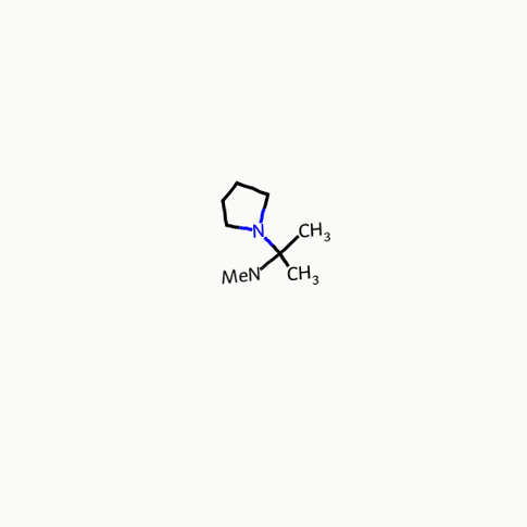 CNC(C)(C)N1CCCC1